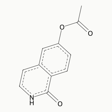 CC(=O)Oc1ccc2c(=O)[nH]ccc2c1